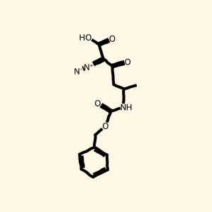 CC(CC(=O)C(=[N+]=[N-])C(=O)O)NC(=O)OCc1ccccc1